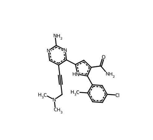 Cc1ccc(Cl)cc1-c1[nH]c(-c2nc(N)ncc2C#CCN(C)C)cc1C(N)=O